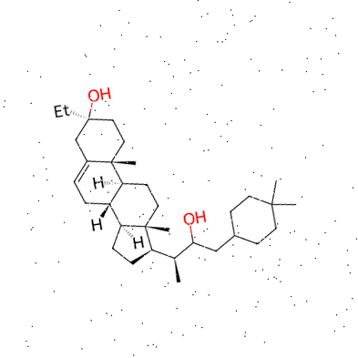 CC[C@]1(O)CC[C@@]2(C)C(=CC[C@H]3[C@@H]4CC[C@H]([C@H](C)C(O)CC5CCC(C)(C)CC5)[C@@]4(C)CC[C@@H]32)C1